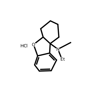 CCN(C)C12CCCCC1Oc1ccccc12.Cl